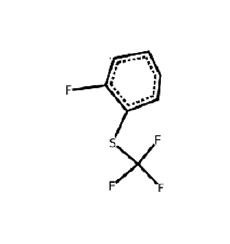 Fc1[c]cccc1SC(F)(F)F